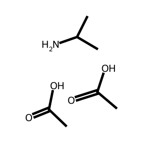 CC(=O)O.CC(=O)O.CC(C)N